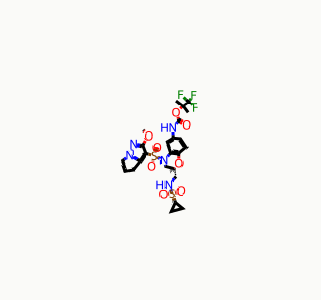 COc1nn2c(c1S(=O)(=O)N1C[C@@H](CNS(=O)(=O)C3CC3)Oc3ccc(NC(=O)OC(C)(C)C(F)(F)F)cc31)CCC2